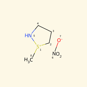 C[S+]1CCCN1.O=[N+]([O-])[O-]